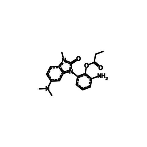 CCC(=O)Oc1c(N)cccc1-n1c(=O)n(C)c2ccc(N(C)C)cc21